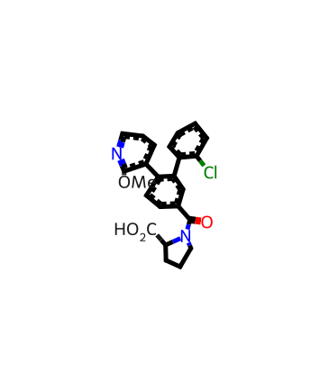 COc1ncccc1-c1ccc(C(=O)N2CCCC2C(=O)O)cc1-c1ccccc1Cl